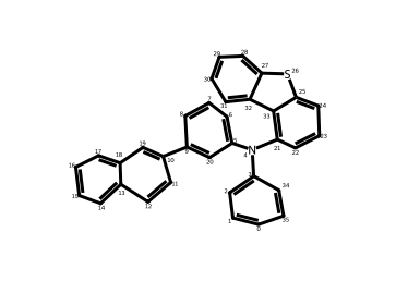 c1ccc(N(c2cccc(-c3ccc4ccccc4c3)c2)c2cccc3sc4ccccc4c23)cc1